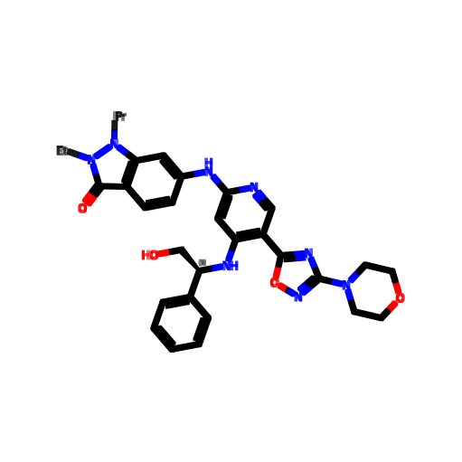 CCn1c(=O)c2ccc(Nc3cc(N[C@H](CO)c4ccccc4)c(-c4nc(N5CCOCC5)no4)cn3)cc2n1C(C)C